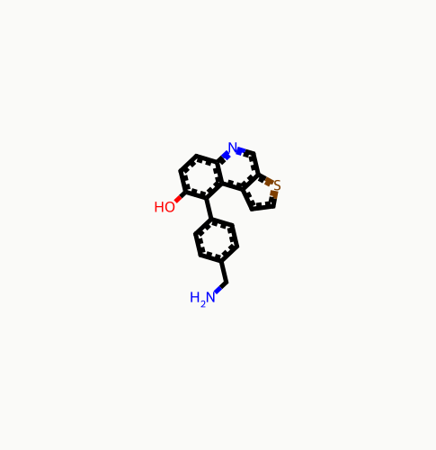 NCc1ccc(-c2c(O)ccc3ncc4sccc4c23)cc1